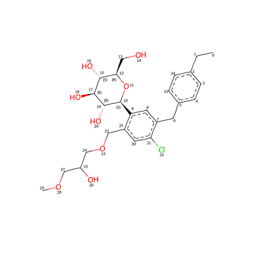 CCc1ccc(Cc2cc([C@@H]3O[C@H](CO)[C@@H](O)[C@H](O)[C@H]3O)c(COCC(O)COC)cc2Cl)cc1